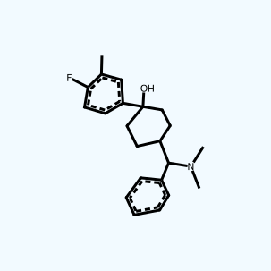 Cc1cc(C2(O)CCC(C(c3ccccc3)N(C)C)CC2)ccc1F